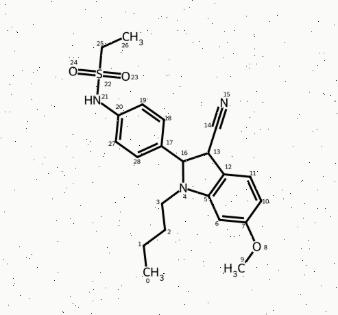 CCCCN1c2cc(OC)ccc2C(C#N)C1c1ccc(NS(=O)(=O)CC)cc1